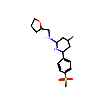 CS(=O)(=O)c1ccc(C2CC(F)CC(NCC3CCCO3)N2)cc1